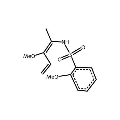 C=CC(OC)=C(C)NS(=O)(=O)c1ccccc1OC